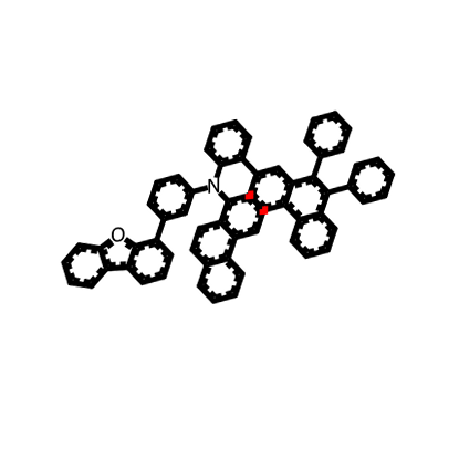 c1ccc(-c2c(-c3ccccc3)c3cc(-c4ccccc4N(c4cccc(-c5cccc6c5oc5ccccc56)c4)c4cccc5c4ccc4ccccc45)ccc3c3ccccc23)cc1